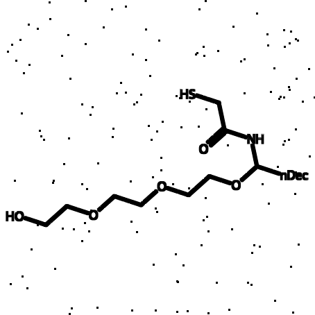 CCCCCCCCCCC(NC(=O)CS)OCCOCCOCCO